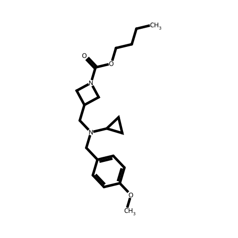 CCCCOC(=O)N1CC(CN(Cc2ccc(OC)cc2)C2CC2)C1